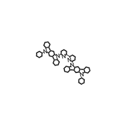 c1ccc(-n2c3ccccc3c3cc4c(cc32)c2ccccc2n4-c2cccc(-c3cccc(-n4c5ccccc5c5cc6c(cc54)c4ccccc4n6-c4ccccc4)n3)n2)cc1